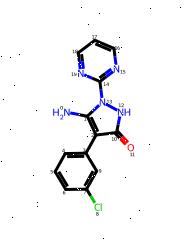 Nc1c(-c2cccc(Cl)c2)c(=O)[nH]n1-c1ncccn1